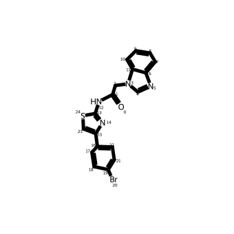 O=C(Cn1cnc2ccccc21)Nc1nc(-c2ccc(Br)cc2)cs1